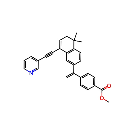 C=C(c1ccc(C(=O)OC)cc1)c1ccc2c(c1)C(C#Cc1cccnc1)=CCC2(C)C